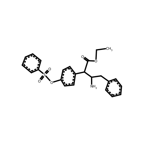 CCOC(=O)C(c1ccc(OS(=O)(=O)c2ccccc2)cc1)C(N)Cc1ccccc1